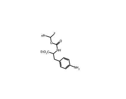 CCCC(F)OC(=O)NC(Cc1ccc(N)cc1)C(=O)OCC